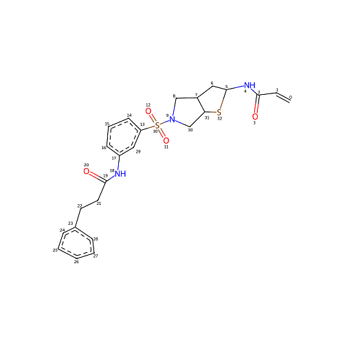 C=CC(=O)NC1CC2CN(S(=O)(=O)c3cccc(NC(=O)CCc4ccccc4)c3)CC2S1